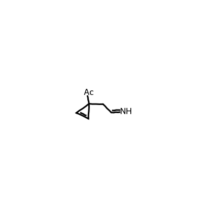 CC(=O)C1(CC=N)C=C1